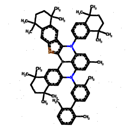 Cc1cc2c3c(c1)N(c1ccc4c(c1)C(C)(C)CCC4(C)C)c1c(sc4cc5c(cc14)C(C)(C)CCC5(C)C)B3c1cc3c(cc1N2c1cc(-c2c(C)cccc2C)ccc1C)C(C)(C)CCC3(C)C